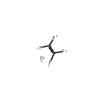 FC(F)=C(F)F.[Cr]